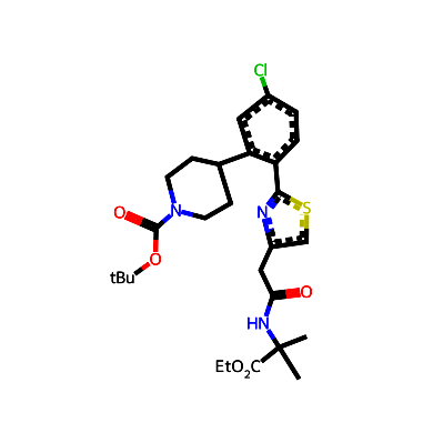 CCOC(=O)C(C)(C)NC(=O)Cc1csc(-c2ccc(Cl)cc2C2CCN(C(=O)OC(C)(C)C)CC2)n1